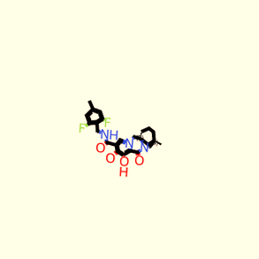 Cc1cc(F)c(CNC(=O)c2cn3c(c(O)c2=O)C(=O)N2C[C@@]4(C)CCC[C@]2(C3)C4)c(F)c1